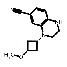 CO[C@H]1C[C@H](N2CCNc3ccc(C#N)cc32)C1